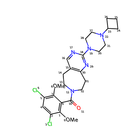 COc1c(Cl)cc(Cl)c(OC)c1C(=O)N1CCc2cnc(N3CCN(C4CCC4)CC3)nc2CC1